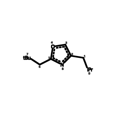 CC(C)Cc1coc(CC(C)(C)C)n1